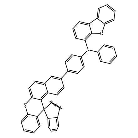 c1ccc(N(c2ccc(-c3ccc4c5c(ccc4c3)Sc3ccccc3C53c4ccccc4-c4ccccc43)cc2)c2cccc3c2oc2ccccc23)cc1